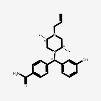 C=CCN1C[C@H](C)N([C@H](c2ccc(C(N)=O)cc2)c2cccc(O)c2)C[C@@H]1C